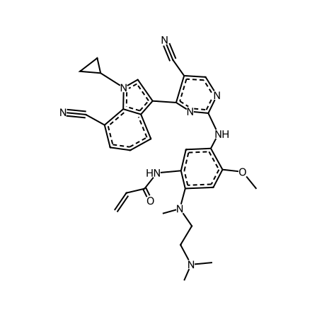 C=CC(=O)Nc1cc(Nc2ncc(C#N)c(-c3cn(C4CC4)c4c(C#N)cccc34)n2)c(OC)cc1N(C)CCN(C)C